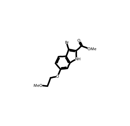 COCCOc1ccc2c(Br)c(C(=O)OC)[nH]c2c1